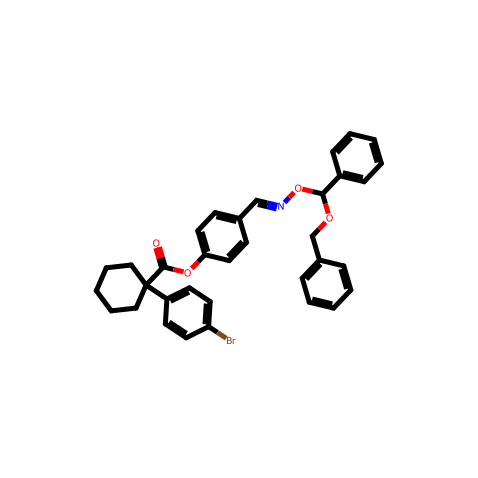 O=C(Oc1ccc(C=NOC(OCc2ccccc2)c2ccccc2)cc1)C1(c2ccc(Br)cc2)CCCCC1